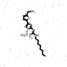 CCCCCCCCN/C(N)=N/c1nc(-c2ccc(CN)s2)cs1.Cl.Cl